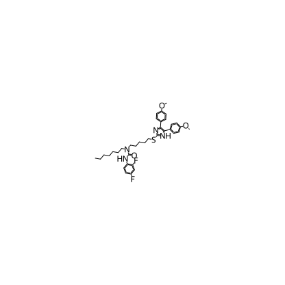 CCCCCCCN(CCCCCSc1nc(-c2ccc(OC)cc2)c(-c2ccc(OC)cc2)[nH]1)C(=O)Nc1ccc(F)cc1F